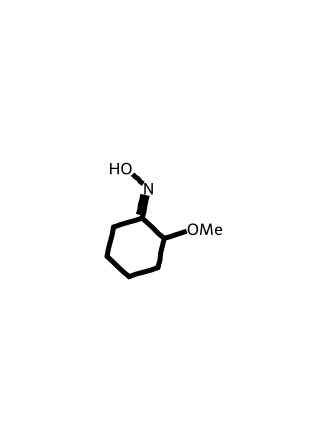 COC1CCCCC1=NO